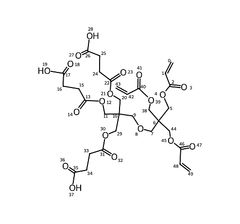 C=CC(=O)OCC(COCC(COC(=O)CCC(=O)O)(COC(=O)CCC(=O)O)COC(=O)CCC(=O)O)(COC(=O)C=C)COC(=O)C=C